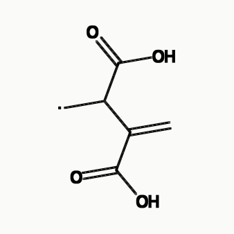 [CH2]C(C(=C)C(=O)O)C(=O)O